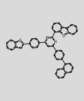 c1ccc2sc(-c3ccc(-c4cc(-c5ccc(-c6cccc7ccccc67)cc5)nc(-c5cccc6c5oc5ccccc56)n4)cc3)cc2c1